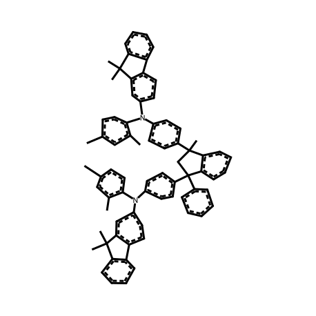 Cc1ccc(N(c2ccc(C3(C)CC(c4ccccc4)(c4ccc(N(c5ccc6c(c5)C(C)(C)c5ccccc5-6)c5ccc(C)cc5C)cc4)c4ccccc43)cc2)c2ccc3c(c2)C(C)(C)c2ccccc2-3)c(C)c1